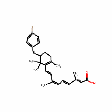 CC1=C(/C=C/C(C)=C\C=C\C(C)=C\C(=O)O)C(C)(C)C(Cc2ccc(Br)cc2)CC1